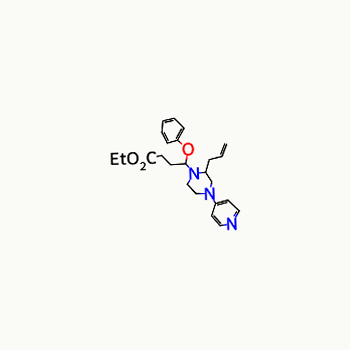 C=CCC1CN(c2ccncc2)CCN1C(CCC(=O)OCC)Oc1ccccc1